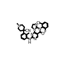 Cc1c(Nc2ncc3c(n2)N2CCN=C2N(c2c(F)cccc2Cl)C3=O)cccc1C1(C#N)CCN(C)CC1